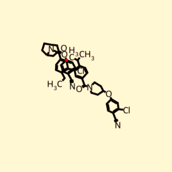 CCc1ccc(C(=O)N2C3CCC2CC(Oc2ccc(C#N)c(Cl)c2)C3)cc1-c1cc(C(=O)N2CCC(Oc3ccc(C#N)c(Cl)c3)CC2)ccc1C(C)C